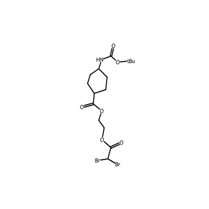 CC(C)(C)OC(=O)NC1CCC(C(=O)OCCOC(=O)C(Br)Br)CC1